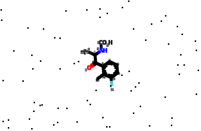 CCCC(NC(=O)O)C(=O)c1cccc(F)c1C